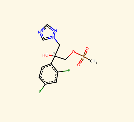 CS(=O)(=O)OC[C@@](O)(Cn1cncn1)c1ccc(F)cc1F